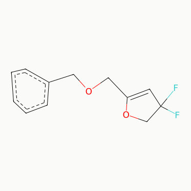 FC1(F)C=C(COCc2ccccc2)OC1